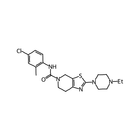 CCN1CCN(c2nc3c(s2)CN(C(=O)Nc2ccc(Cl)cc2C)CC3)CC1